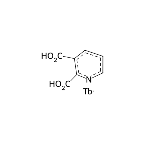 O=C(O)c1cccnc1C(=O)O.[Tb]